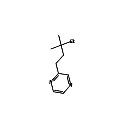 CCC(C)(C)CCc1cnccn1